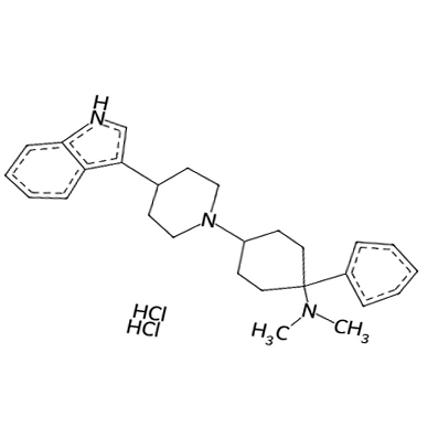 CN(C)C1(c2ccccc2)CCC(N2CCC(c3c[nH]c4ccccc34)CC2)CC1.Cl.Cl